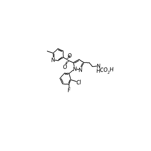 Cc1ccc(S(=O)(=O)c2cc(CCNC(=O)O)nn2-c2cccc(F)c2Cl)cn1